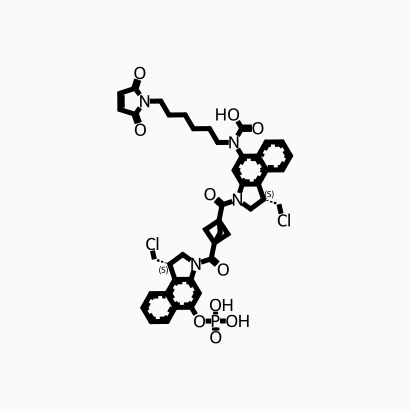 O=C1C=CC(=O)N1CCCCCCN(C(=O)O)c1cc2c(c3ccccc13)[C@H](CCl)CN2C(=O)C12CC(C(=O)N3C[C@@H](CCl)c4c3cc(OP(=O)(O)O)c3ccccc43)(C1)C2